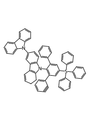 c1cccc(-c2cc(S(c3ccccc3)(c3ccccc3)c3ccccc3)cc(-c3ccccc3)c2-n2c3c(c4cc(-n5c6ccccc6c6ccccc65)ccc42)C=CCC3)c#1